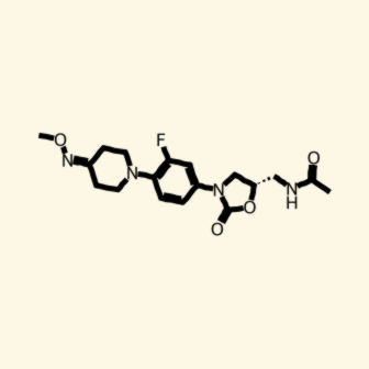 CON=C1CCN(c2ccc(N3C[C@H](CNC(C)=O)OC3=O)cc2F)CC1